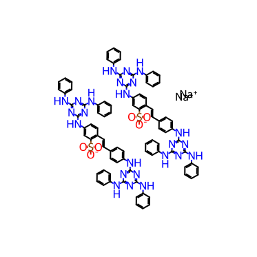 O=S(=O)([O-])c1cc(Nc2nc(Nc3ccccc3)nc(Nc3ccccc3)n2)ccc1/C=C/c1ccc(Nc2nc(Nc3ccccc3)nc(Nc3ccccc3)n2)cc1.O=S(=O)([O-])c1cc(Nc2nc(Nc3ccccc3)nc(Nc3ccccc3)n2)ccc1/C=C/c1ccc(Nc2nc(Nc3ccccc3)nc(Nc3ccccc3)n2)cc1.[Na+].[Na+]